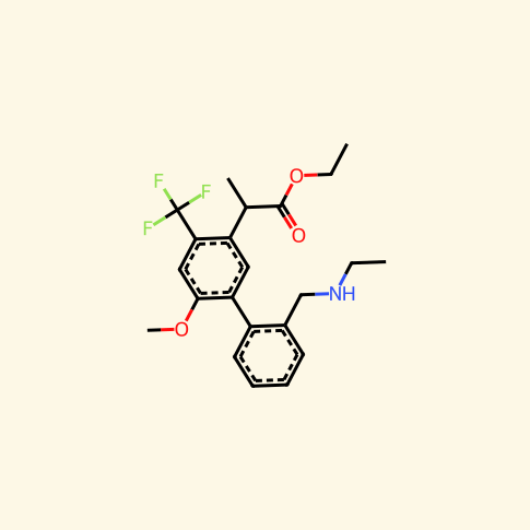 CCNCc1ccccc1-c1cc(C(C)C(=O)OCC)c(C(F)(F)F)cc1OC